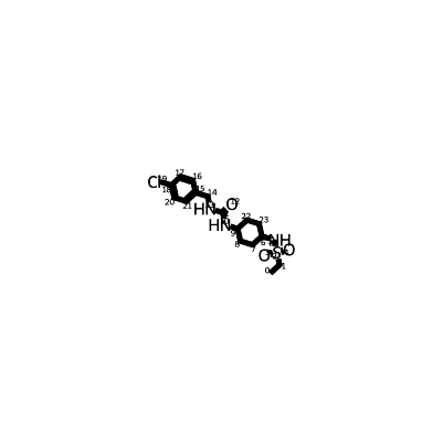 CCS(=O)(=O)NC1CCC(NC(=O)NCc2ccc(Cl)cc2)CC1